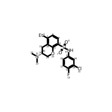 CCc1ccc(S(=O)(=O)Nc2ccc(F)c(Cl)c2)c2c1C[C@@H](N(C)C)CO2